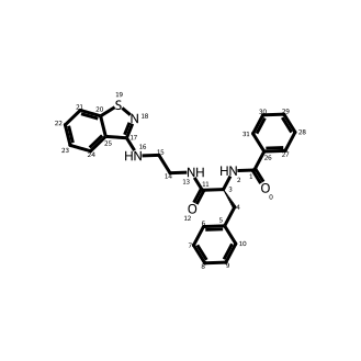 O=C(N[C@@H](Cc1ccccc1)C(=O)NCCNc1nsc2ccccc12)c1ccccc1